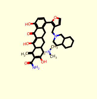 C=C1C(C(N)=O)=C(O)[C@@H](N(C)C)C2CC3Cc4c(-c5occc5CN5CCC6CCCCC6C5)ccc(O)c4C(=O)C3=C(O)C12